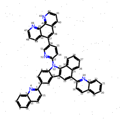 c1ccc2nc(-c3ccc4c(c3)c3cc(-c5ccc6ccccc6n5)c5ccccc5c3n4-c3ccc(-c4cc5cccnc5c5ncccc45)cn3)ccc2c1